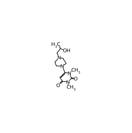 CC(O)CN1CCN(c2cc(=O)n(C)c(=O)n2C)CC1